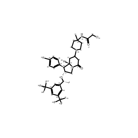 C[C@@H](O[C@H]1CN2C(=O)CC(N3CCC(C)(NC(=O)CCl)CC3)C[C@H]2[C@@H]1c1ccc(F)cc1)c1cc(C(F)(F)F)cc(C(F)(F)F)c1